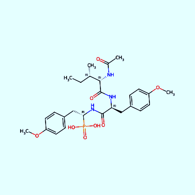 CC[C@H](C)[C@H](NC(C)=O)C(=O)N[C@@H](Cc1ccc(OC)cc1)C(=O)N[C@@H](Cc1ccc(OC)cc1)P(=O)(O)O